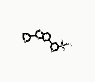 NS(=O)(=O)c1cncc(-c2ccc3ncc(-c4cccnc4)nc3c2)c1